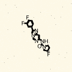 O=C(Nc1cc2nc(-c3ccc(F)c(F)c3)cn2cn1)N1CC[C@H](F)C1